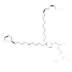 CCCC/C=C\C/C=C\CCCCCCCCC1(CCCCCCCC/C=C\C/C=C\CCCCC)OC[C@H](CN(C)CCOP(=O)(O)OC)O1